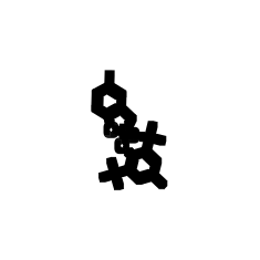 Cc1ccc2c(c1)CP(=O)(Oc1c(C(C)(C)C)cc(C)cc1C(C)(C)C)O2